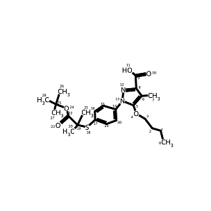 CCCCOc1c(C)c(C(=O)O)nn1-c1ccc(SC(C)(C)C(=O)OC(C)(C)C)cc1